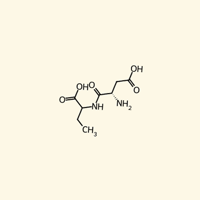 CCC(NC(=O)[C@@H](N)CC(=O)O)C(=O)O